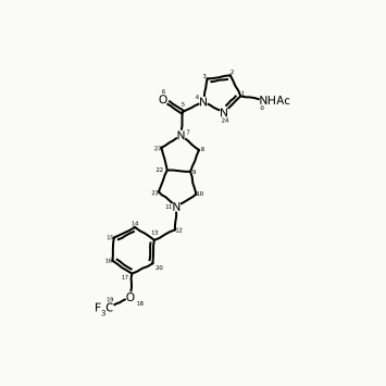 CC(=O)Nc1ccn(C(=O)N2CC3CN(Cc4cccc(OC(F)(F)F)c4)CC3C2)n1